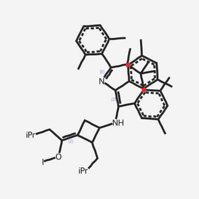 Cc1cc(C)cc(C2=C(/NC3C/C(=C(\CC(C)C)OI)C3CC(C)C)c3cc(C)cc(C)c3C(C)(C)C(C)/C(c3c(C)cccc3C)=N\2)c1